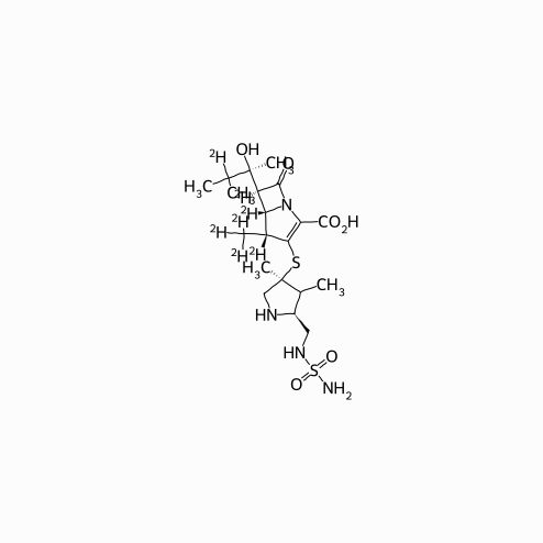 [2H]C(C)(C)[C@@](C)(O)[C@@]1([2H])C(=O)N2C(C(=O)O)=C(S[C@]3(C)CN[C@H](CNS(N)(=O)=O)C3C)[C@]([2H])(C([2H])([2H])[2H])[C@@]21[2H]